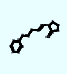 O=C1CCC[C@H]1/C=C/CCCc1ccccc1